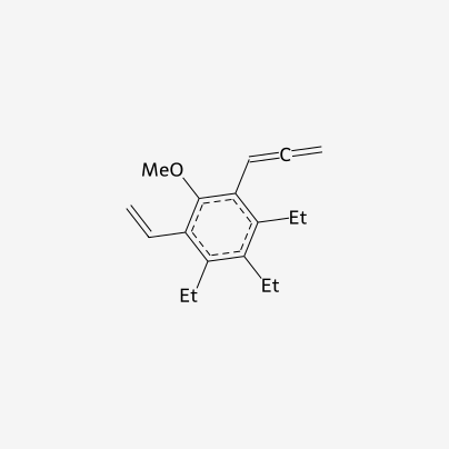 C=C=Cc1c(CC)c(CC)c(CC)c(C=C)c1OC